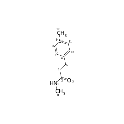 CNC(=O)CCc1cc[si](C)cc1